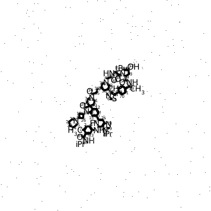 Cc1cc(F)c(Nc2nc(-c3ccc4c(c3)N(C3CC(N5CCCCC5)C3)C(=O)C43CCN(C(=O)CC[C@H]4CCCN(CC(=O)N[C@H](C(=O)N5C[C@H](O)C[C@H]5C(=O)N[C@@H](C)c5ccc(-c6scnc6C)cc5)C(C)(C)C)C4)CC3)cc3ncn(C(C)C)c23)cc1C(=O)NC(C)C